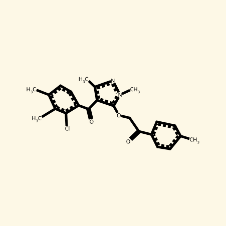 Cc1ccc(C(=O)COc2c(C(=O)c3ccc(C)c(C)c3Cl)c(C)nn2C)cc1